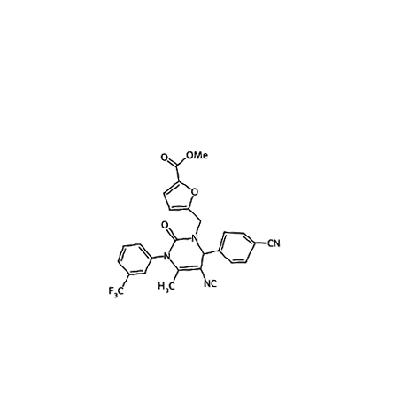 [C-]#[N+]C1=C(C)N(c2cccc(C(F)(F)F)c2)C(=O)N(Cc2ccc(C(=O)OC)o2)C1c1ccc(C#N)cc1